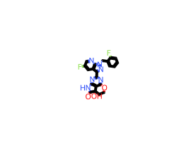 O=C1Nc2nc(-c3nn(Cc4ccccc4F)c4ncc(F)cc34)nc3c2[C@@]1(O)CCO3